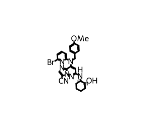 COc1ccc(CN(c2cccc(Br)n2)c2cc(N[C@@H]3CCCC[C@H]3O)nn3c(C#N)cnc23)cc1